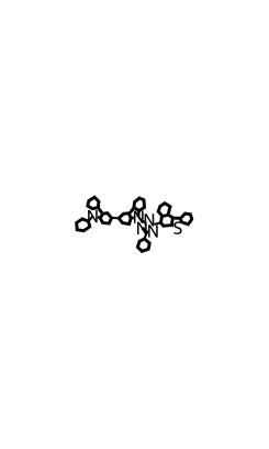 c1ccc(-c2nc(-c3cc4sc5ccccc5c4c4ccccc34)nc(-n3c4ccccc4c4cc(-c5ccc6c(c5)c5ccccc5n6-c5ccccc5)ccc43)n2)cc1